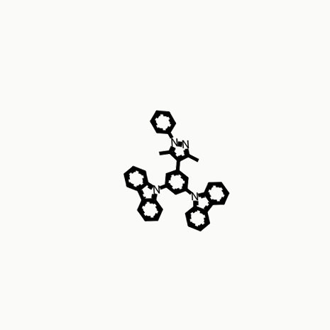 Cc1nn(-c2ccccc2)c(C)c1-c1cc(-n2c3ccccc3c3ccccc32)cc(-n2c3ccccc3c3ccccc32)c1